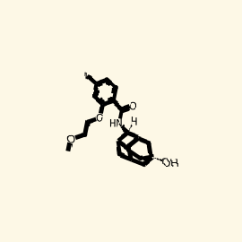 COCCOc1cc(I)ccc1C(=O)N[C@H]1C2CC3CC1C[C@](O)(C3)C2